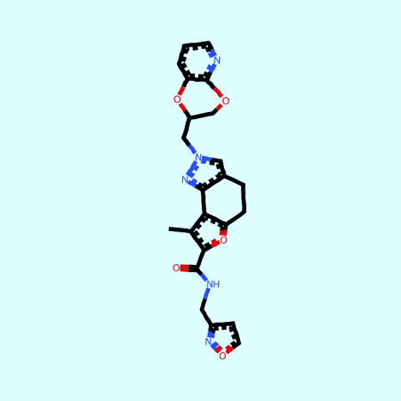 Cc1c(C(=O)NCc2ccon2)oc2c1-c1nn(CC3COc4ncccc4O3)cc1CC2